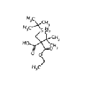 CCOC(=O)C(CSC(C)(C)C)(C(=O)O)C(C)(C)C